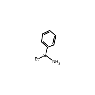 CC[Si](N)c1ccccc1